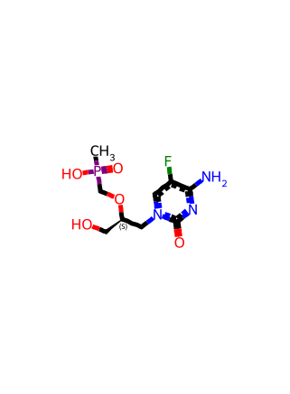 CP(=O)(O)CO[C@H](CO)Cn1cc(F)c(N)nc1=O